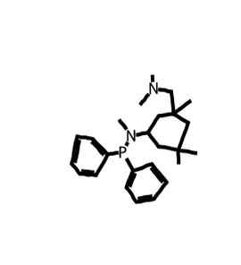 CN(C)CC1(C)CC(N(C)P(c2ccccc2)c2ccccc2)CC(C)(C)C1